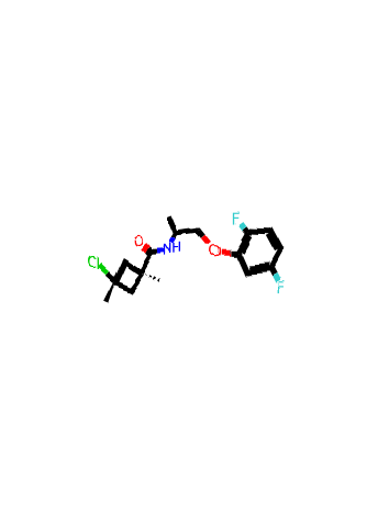 CC(COc1cc(F)ccc1F)NC(=O)[C@]1(C)C[C@@](C)(Cl)C1